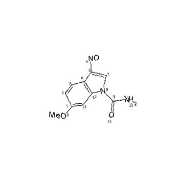 COc1ccc2c(N=O)cn(C(N)=O)c2c1